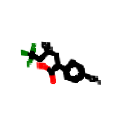 Cc1ccc(C(CC(C)CC(F)(F)F)C(=O)O)cc1